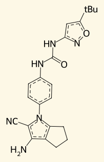 CC(C)(C)c1cc(NC(=O)Nc2ccc(-n3c(C#N)c(N)c4c3CCC4)cc2)no1